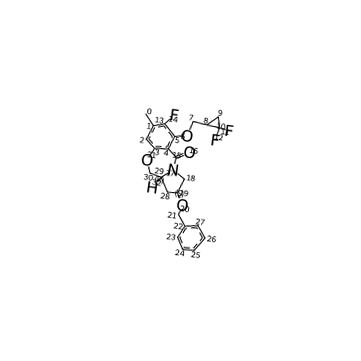 Cc1cc2c(c(OCC3CC3(F)F)c1F)C(=O)N1C[C@@H](OCc3ccccc3)C[C@@H]1CO2